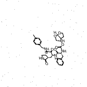 Cc1ccc(CNC(=O)C(=O)[C@H](C[C@@H]2CCNC2=O)NC(=O)[C@H](Cc2ccccc2)NC(=O)O[C@H]2CO[C@H]3OCC[C@H]32)cc1